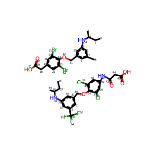 CCC(C)Nc1cc(C)cc(COc2c(Br)cc(CC(=O)O)cc2Br)c1.CCC(C)Nc1cc(COc2c(Cl)cc(NC(=O)CC(=O)O)cc2Cl)cc(C(F)(F)F)c1